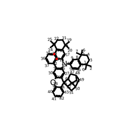 CC1(C)CCC(C)(C)c2cc(N(c3ccc4c(c3)C(C)(C)CCC4(C)C)c3cc4c(cc3-c3ccccc3)Oc3ccccc3C43C4CC5CC6CC3C64C5)ccc21